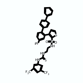 CC(C)c1ccc(-c2ccc(-c3ccccc3)cc2)c(-c2ccsc2S(=O)(=O)NCCNC(=S)Nc2cc(C(F)(F)F)cc(C(F)(F)F)c2)c1